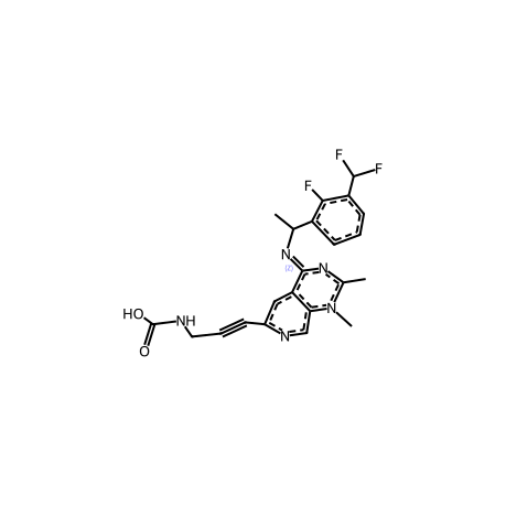 Cc1n/c(=N\C(C)c2cccc(C(F)F)c2F)c2cc(C#CCNC(=O)O)ncc2n1C